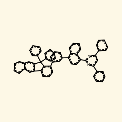 c1ccc(-c2cc(-c3ccccc3)nc(-c3ccc(-c4cccc(-c5cccc6c5C(c5ccccc5)(c5ccccc5)c5cc7ccccc7cc5-6)c4)c4ccccc34)n2)cc1